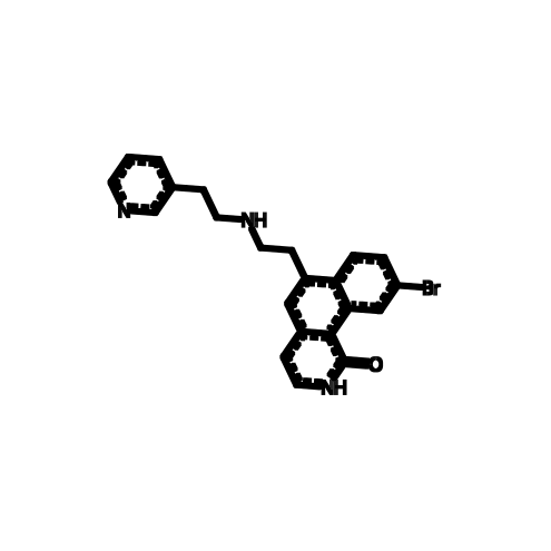 O=c1[nH]ccc2cc(CCNCCc3cccnc3)c3ccc(Br)cc3c12